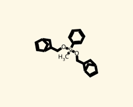 C[Si](OCC1CC2C=CC1C2)(OCC1CC2C=CC1C2)c1ccccc1